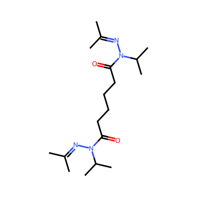 CC(C)=NN(C(=O)CCCCC(=O)N(N=C(C)C)C(C)C)C(C)C